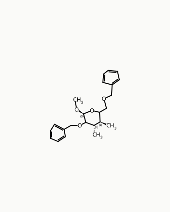 CO[C@H]1OC(COCc2ccccc2)[C@@H](C)[C@H](C)C1OCc1ccccc1